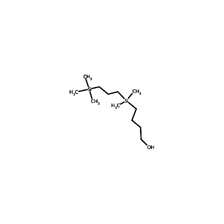 C[Si](C)(C)CCC[Si](C)(C)CCCCO